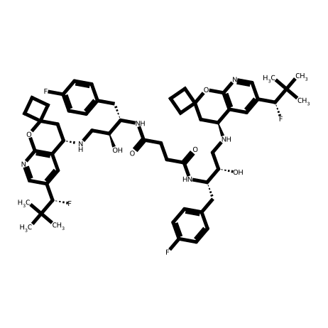 CC(C)(C)[C@H](F)c1cnc2c(c1)[C@@H](NC[C@H](O)[C@H](Cc1ccc(F)cc1)NC(=O)CCC(=O)N[C@@H](Cc1ccc(F)cc1)[C@@H](O)CN[C@H]1CC3(CCC3)Oc3ncc([C@H](F)C(C)(C)C)cc31)CC1(CCC1)O2